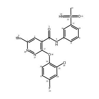 CC(C)(C)c1cc(C(=O)Nc2cccc(S(C)(=N)=O)c2)c(Oc2ccc(F)cc2Cl)nn1